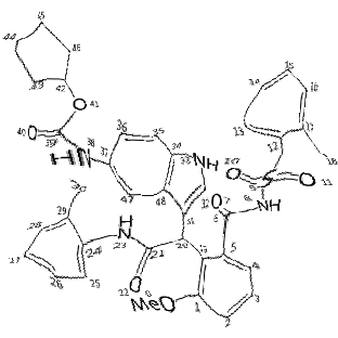 COc1cccc(C(=O)NS(=O)(=O)c2ccccc2C)c1C(C(=O)Nc1ccccc1C)c1c[nH]c2ccc(NC(=O)OC3CCCC3)cc12